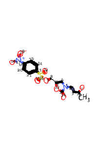 CC(=O)/C=C/N1C[C@@H](COS(=O)(=O)c2ccc([N+](=O)[O-])cc2)OC1=O